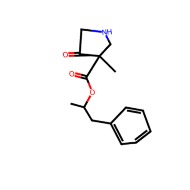 CC(Cc1ccccc1)OC(=O)C1(C)CNCC1=O